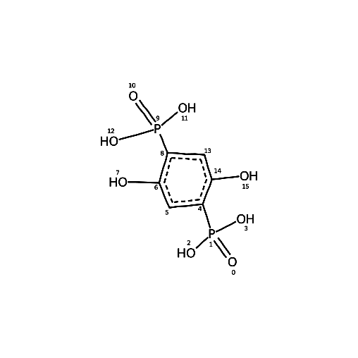 O=P(O)(O)c1cc(O)c(P(=O)(O)O)cc1O